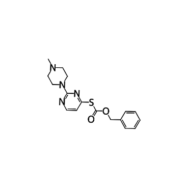 CN1CCN(c2nccc(SC(=O)OCc3ccccc3)n2)CC1